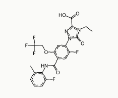 CCn1c(C(=O)O)nn(-c2cc(OCC(F)(F)F)c(C(=O)Nc3c(C)cccc3F)cc2F)c1=O